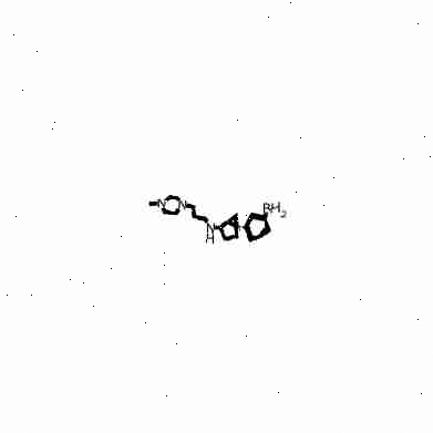 Bc1cccc([C@]23CCC(NCCCN4CCN(C)CC4)C2C3)c1